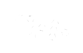 O=S(=O)(Oc1cccc2c(-c3ccc(-c4c5ccccc5c(-c5ccccc5)c5ccccc45)cc3)c(C3=CCCC=C3)oc12)C(F)(F)F